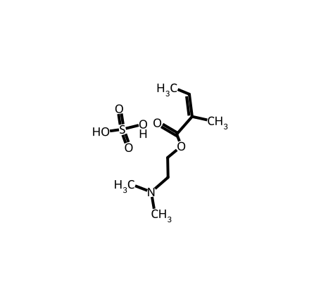 CC=C(C)C(=O)OCCN(C)C.O=S(=O)(O)O